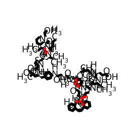 CCCCCCN(C(=O)[C@@H](NC(=O)[C@H]1CCCCN1CCO)[C@@H](C)CC)[C@H](C[C@@H](OCC)c1nc(C(=O)N[C@@H](Cc2ccc(NC(=O)CNC(=O)OCc3ccc(NC(=O)[C@H](CCCNC(N)=O)NC(=O)[C@@H](NC(=O)[C@H](CCC(=O)O)NC(=O)CC(C)(C)COCC(C)(C)CNC(=O)CCC(=O)N4Cc5ccccc5C#Cc5ccccc54)C(C)C)cc3)cc2)CC(C)(C)C(=O)O)cs1)C(C)C